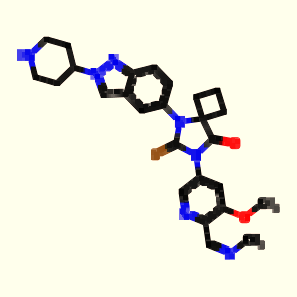 C/N=C\c1ncc(N2C(=O)C3(CCC3)N(c3ccc4nn(C5CCNCC5)cc4c3)C2=S)cc1OC